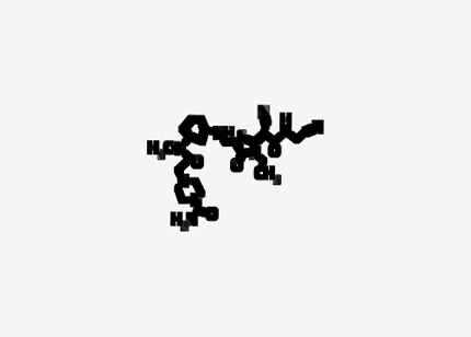 CCn1c(=C(C#N)C(=O)NCC#N)sc(=CNc2cccc(N(C)C(=O)CN3CCN(C(N)=O)CC3)c2)c1=O